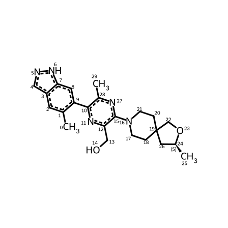 Cc1cc2cn[nH]c2cc1-c1nc(CO)c(N2CCC3(CC2)CO[C@@H](C)C3)nc1C